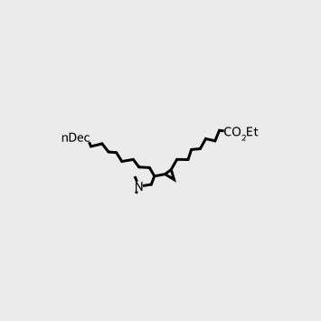 CCCCCCCCCCCCCCCCCCC(CN(C)C)C1CC1CCCCCCCC(=O)OCC